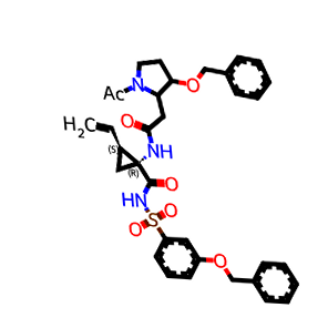 C=C[C@@H]1C[C@]1(NC(=O)CC1C(OCc2ccccc2)CCN1C(C)=O)C(=O)NS(=O)(=O)c1cccc(OCc2ccccc2)c1